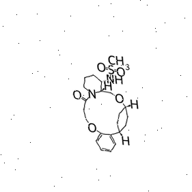 CS(=O)(=O)N[C@H]1CCCN2C(=O)CCOc3ccccc3[C@H]3CC[C@H](CC3)OC[C@@H]12